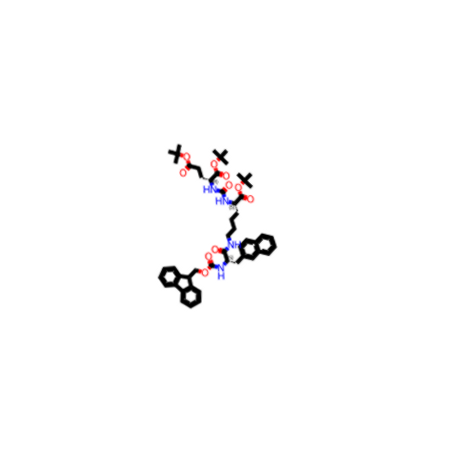 CC(C)(C)OC(=O)CC[C@@H](NC(=O)N[C@@H](CCCCNC(=O)[C@H](Cc1ccc2ccccc2c1)NC(=O)OCC1c2ccccc2-c2ccccc21)C(=O)OC(C)(C)C)C(=O)OC(C)(C)C